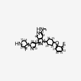 CNc1cc2c(cn1)c(-c1cnn(C3CCNC[C@@H]3F)c1)nn2C1CCC(Oc2ccccc2F)CC1